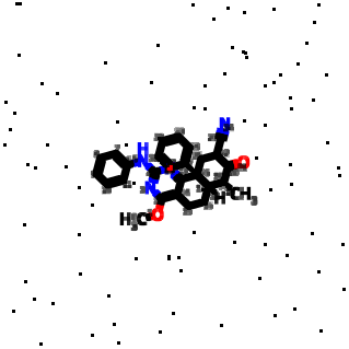 COc1nc(Nc2ccccc2)nc2c1CC[C@H]1[C@H](C)C(=O)C(C#N)C[C@@]21c1ccccc1